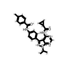 Cc1ccc(C(=O)Nc2ccc(-c3nn(C(C)C)c4ncnc(NC(=O)C5CC5)c34)cc2)cc1